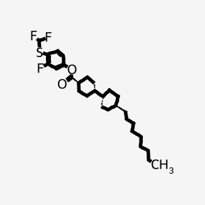 CCCCCCCCC[C@H]1CC[C@H]([C@H]2CC[C@H](C(=O)Oc3ccc(SC(F)F)c(F)c3)CC2)CC1